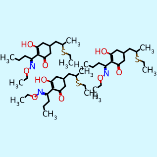 CCC/C(=N\OCC)C1=C(O)CC(CC(C)SCC)CC1=O.CCCC(=NOCC)C1=C(O)CC(CC(C)SCC)CC1=O.CCCC(=NOCC)C1=C(O)CC(CC(C)SCC)CC1=O